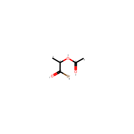 CC(=O)OC(C)C(=O)Br